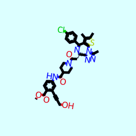 COC(=O)c1ccc(NC(=O)C2CCN(C(=O)C[C@@H]3N=C(c4ccc(Cl)cc4)c4c(sc(C)c4C)-n4c(C)nnc43)CC2)cc1C#CCO